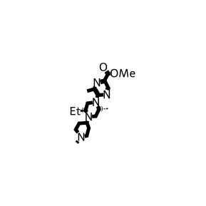 CC[C@H]1CN(c2ncc(C(=O)OC)nc2C)[C@H](C)CN1C1CCN(C)CC1